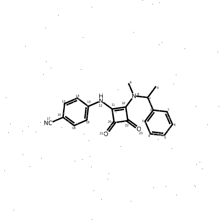 CC(c1ccccc1)N(C)c1c(Nc2ccc(C#N)cc2)c(=O)c1=O